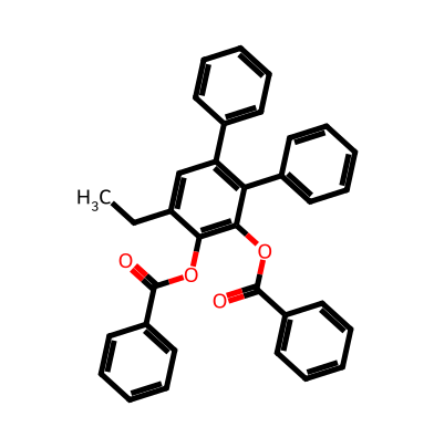 CCc1cc(-c2ccccc2)c(-c2ccccc2)c(OC(=O)c2ccccc2)c1OC(=O)c1ccccc1